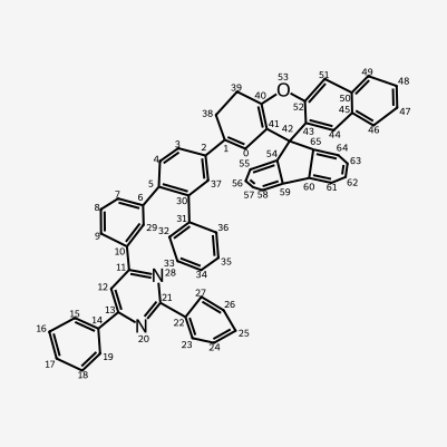 C1=C(c2ccc(-c3cccc(-c4cc(-c5ccccc5)nc(-c5ccccc5)n4)c3)c(-c3ccccc3)c2)CCC2=C1C1(c3cc4ccccc4cc3O2)c2ccccc2-c2ccccc21